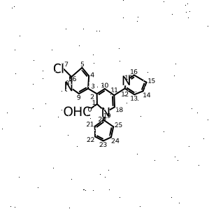 O=CC1C(c2ccc(Cl)nc2)=CC(c2ccccn2)=CN1c1ccccc1